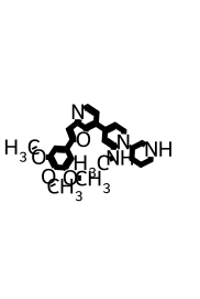 CNC1=CC(c2ccnc3cc(-c4cc(OC)c(OC)c(OC)c4)oc23)=CCN1[C@@H]1CCCNC1